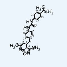 Cc1cc(Cc2ccc(NC(=O)Nc3ccc(C(C)C)cc3)cc2)c2c(N)noc2n1